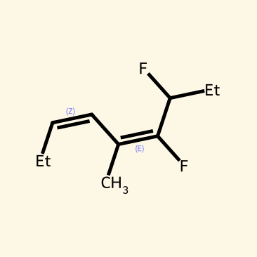 CC/C=C\C(C)=C(\F)C(F)CC